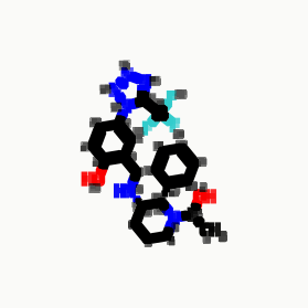 CB(O)N1CCC[C@H](NCc2cc(-n3nnnc3C(F)(F)F)ccc2O)[C@@H]1c1ccccc1